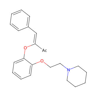 CC(=O)C(=Cc1ccccc1)Oc1ccccc1OCCN1CCCCC1